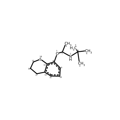 CC(NC(C)(C)C)Oc1cccc2c1SCCC2